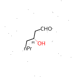 CCCC[C@@H](O)C[C]=O